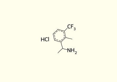 Cc1c(C(C)N)cccc1C(F)(F)F.Cl